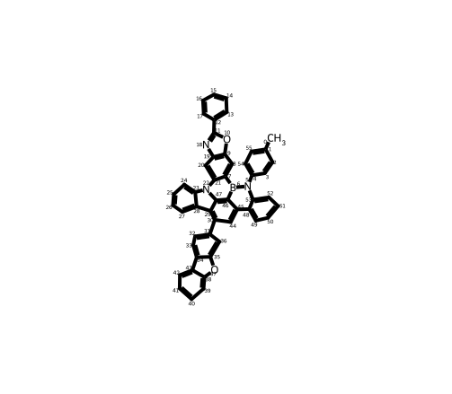 Cc1ccc(N2B3c4cc5oc(-c6ccccc6)nc5cc4-n4c5ccccc5c5c(-c6ccc7c(c6)oc6ccccc67)cc(c3c54)-c3ccccc32)cc1